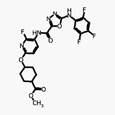 COC(=O)C1CCC(Oc2ccc(NC(=O)c3nnc(Nc4cc(F)c(F)cc4F)o3)c(F)n2)CC1